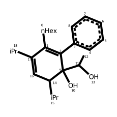 CCCCCCC1=C(c2ccccc2)C(O)(C(C)O)C(C(C)C)C=C1C(C)C